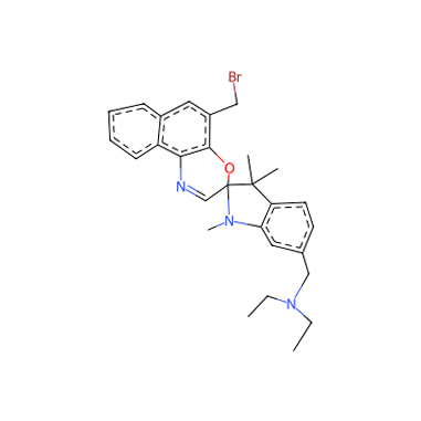 CCN(CC)Cc1ccc2c(c1)N(C)C1(C=Nc3c(c(CBr)cc4ccccc34)O1)C2(C)C